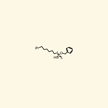 CC(C)CCCCCCSP(O)(=S)OCc1ccccc1